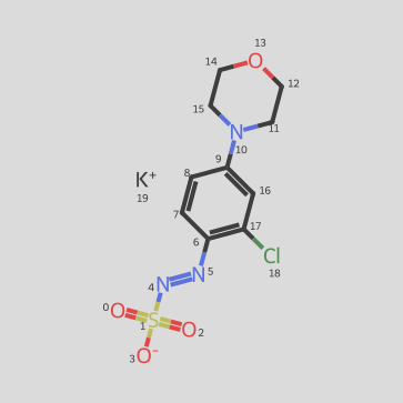 O=S(=O)([O-])N=Nc1ccc(N2CCOCC2)cc1Cl.[K+]